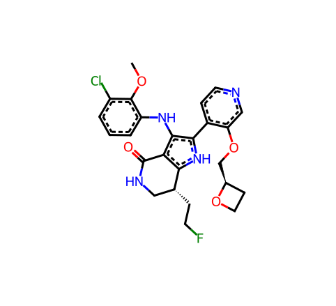 COc1c(Cl)cccc1Nc1c(-c2ccncc2OC[C@H]2CCO2)[nH]c2c1C(=O)NC[C@H]2CCF